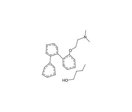 CCCCO.CN(C)CCOc1ccccc1-c1ccccc1-c1ccccc1